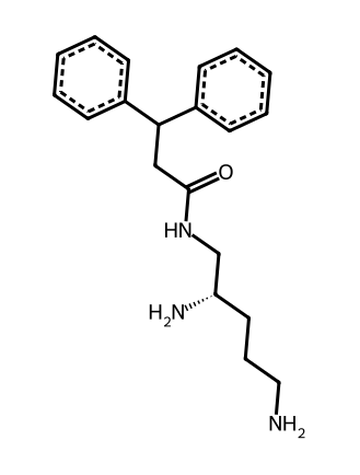 NCCC[C@H](N)CNC(=O)CC(c1ccccc1)c1ccccc1